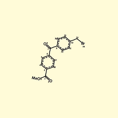 COC(=O)c1ccc(C(=O)c2ccc(CBr)cn2)cc1